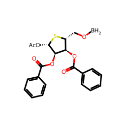 BOC[C@H]1S[C@@H](OC(C)=O)[C@H](OC(=O)c2ccccc2)[C@@H]1OC(=O)c1ccccc1